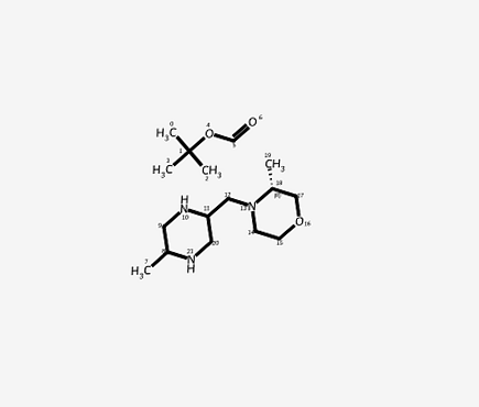 CC(C)(C)OC=O.CC1CNC(CN2CCOC[C@H]2C)CN1